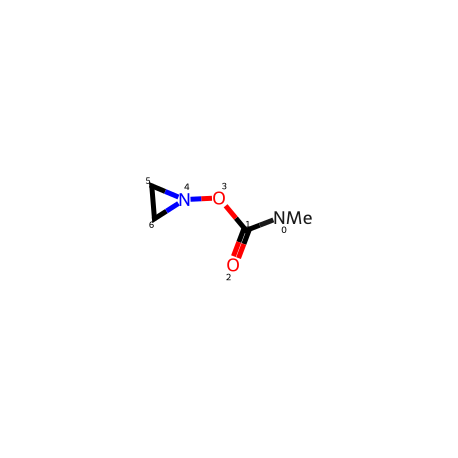 CNC(=O)ON1CC1